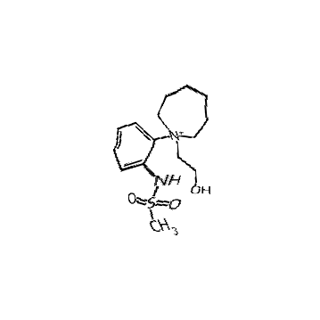 CS(=O)(=O)Nc1ccccc1[N+]1(CCO)CCCCCC1